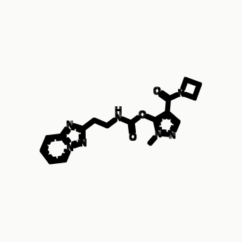 Cn1ncc(C(=O)N2CCC2)c1OC(=O)NCCc1nc2ccccn2n1